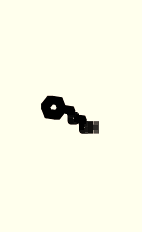 OCOCC1C=CCCC1